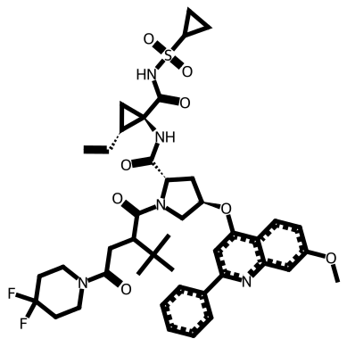 C=C[C@@H]1C[C@]1(NC(=O)[C@@H]1C[C@@H](Oc2cc(-c3ccccc3)nc3cc(OC)ccc23)CN1C(=O)C(CC(=O)N1CCC(F)(F)CC1)C(C)(C)C)C(=O)NS(=O)(=O)C1CC1